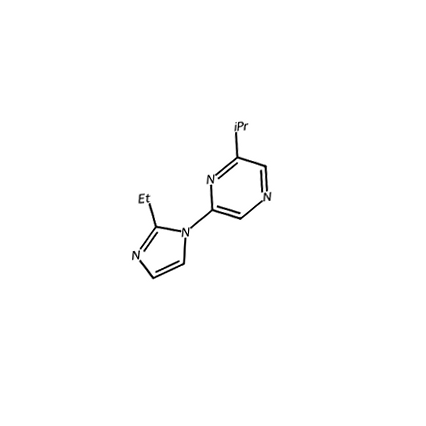 CCc1nccn1-c1cncc(C(C)C)n1